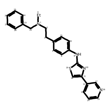 CCN(CCc1ccc(Nc2nc(-c3cccnc3)cs2)cc1)Cc1ccccc1